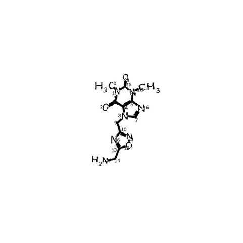 Cn1c(=O)c2c(ncn2Cc2noc(CN)n2)n(C)c1=O